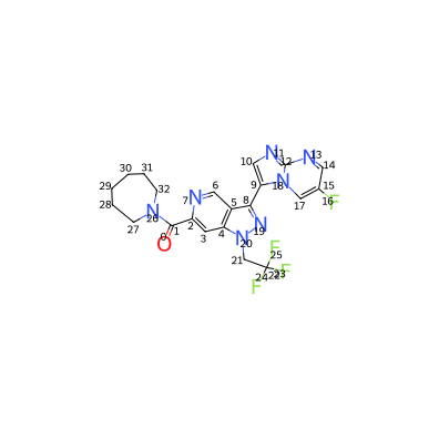 O=C(c1cc2c(cn1)c(-c1cnc3ncc(F)cn13)nn2CC(F)(F)F)N1CCCCCC1